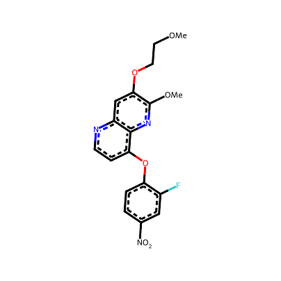 COCCOc1cc2nccc(Oc3ccc([N+](=O)[O-])cc3F)c2nc1OC